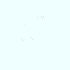 C=CCN(C#N)[C@@H](C)C(=O)OC